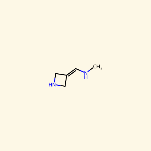 CNC=C1CNC1